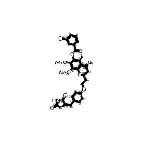 COc1c(OC(=O)c2cccc(Cl)c2)c(C)c2c(c1OC)OC(CCOc1ccc(CC3SC(=O)NC3=O)cc1)CC2=O